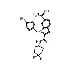 CC(C)c1ccc(Cn2c(C(=O)NC3CCC(F)(F)CC3)cc3ccc(C(=N)N)cc32)cc1